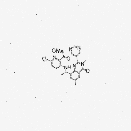 COC(=O)c1nc(Cl)ccc1N[C@H](C)c1cc(C)cc2c(=O)n(C)c(-c3cncnc3)nc12